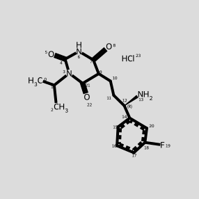 CC(C)N1C(=O)NC(=O)C(CC[C@@H](N)c2cccc(F)c2)C1=O.Cl